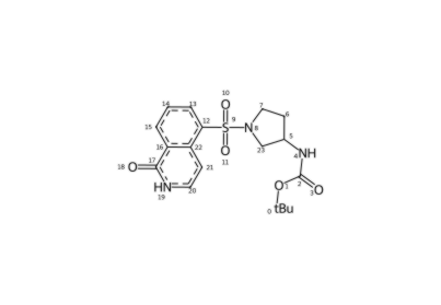 CC(C)(C)OC(=O)NC1CCN(S(=O)(=O)c2cccc3c(=O)[nH]ccc23)C1